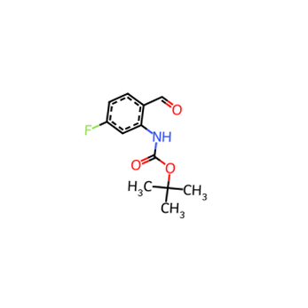 CC(C)(C)OC(=O)Nc1cc(F)ccc1C=O